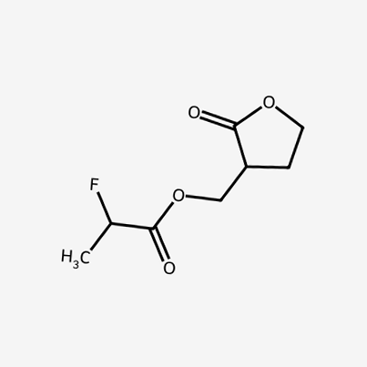 CC(F)C(=O)OCC1CCOC1=O